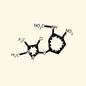 Cn1nc(Oc2ccc([N+](=O)[O-])c(NC(=O)O)c2)c(Cl)c1C(F)(F)F